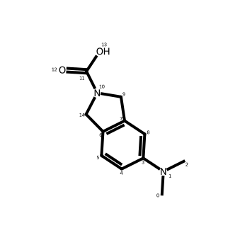 CN(C)c1ccc2c(c1)CN(C(=O)O)C2